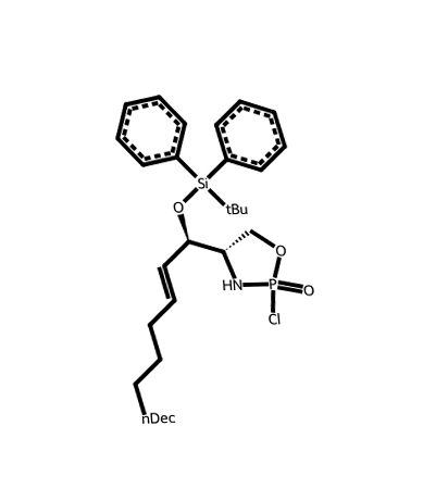 CCCCCCCCCCCCCC=C[C@@H](O[Si](c1ccccc1)(c1ccccc1)C(C)(C)C)[C@@H]1COP(=O)(Cl)N1